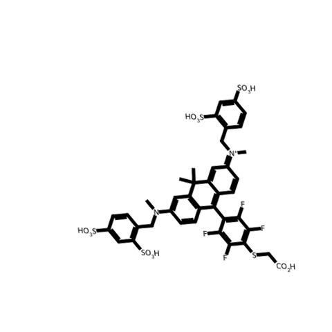 CN(Cc1ccc(S(=O)(=O)O)cc1S(=O)(=O)O)c1ccc2c(c1)C(C)(C)C1=C/C(=[N+](/C)Cc3ccc(S(=O)(=O)O)cc3S(=O)(=O)O)C=CC1=C2c1c(F)c(F)c(SCC(=O)O)c(F)c1F